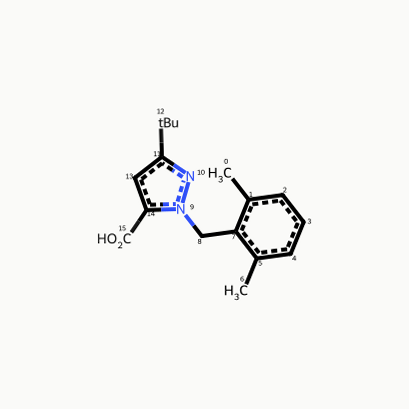 Cc1cccc(C)c1Cn1nc(C(C)(C)C)cc1C(=O)O